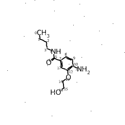 CCCCNC(=O)c1ccc(N)c(OCCO)c1